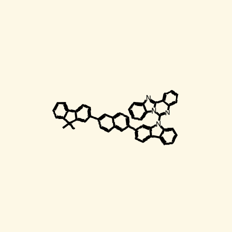 CC1(C)c2ccccc2-c2ccc(-c3ccc4cc(-c5ccc6c7ccccc7n(-c7nc8ccccc8c8nc9ccccc9n78)c6c5)ccc4c3)cc21